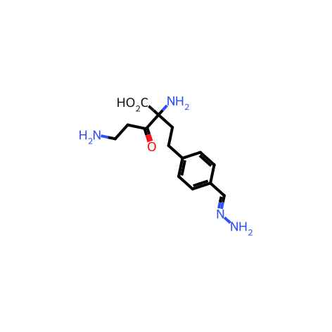 NCCC(=O)C(N)(CCc1ccc(C=NN)cc1)C(=O)O